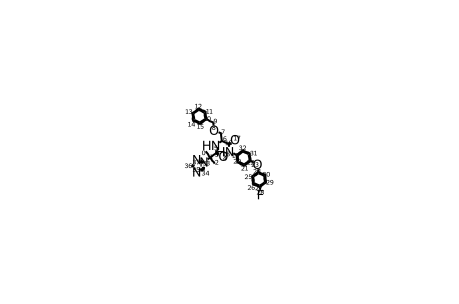 CC(C)(C(=O)NC(COCc1ccccc1)C(=O)Nc1ccc(Oc2ccc(F)cc2)cc1)n1cncn1